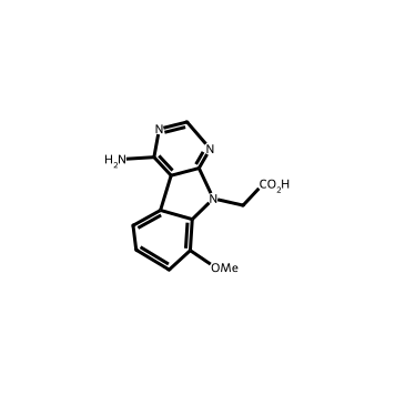 COc1cccc2c3c(N)ncnc3n(CC(=O)O)c12